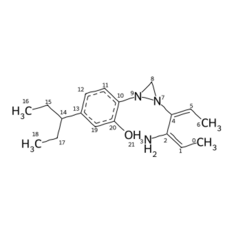 C/C=C(N)\C(=C/C)N1CN1c1ccc(C(CC)CC)cc1O